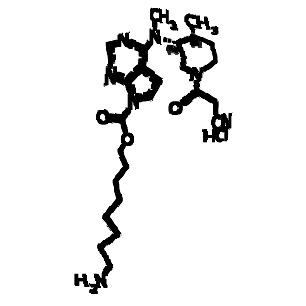 C[C@@H]1CCN(C(=O)CC#N)C[C@@H]1N(C)c1ncnc2c1ccn2C(=O)OCCCCCCCCN.Cl